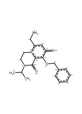 CC(C)N1CCn2c(CN)cc(=O)c(OCc3ccccc3)c2C1=O